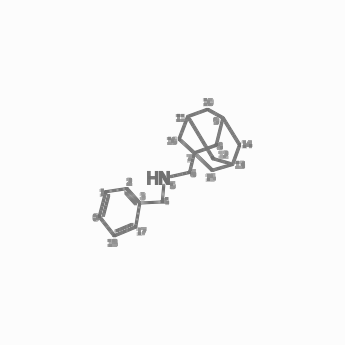 c1ccc(CNCC23CC4CC(CC(C4)C2)C3)cc1